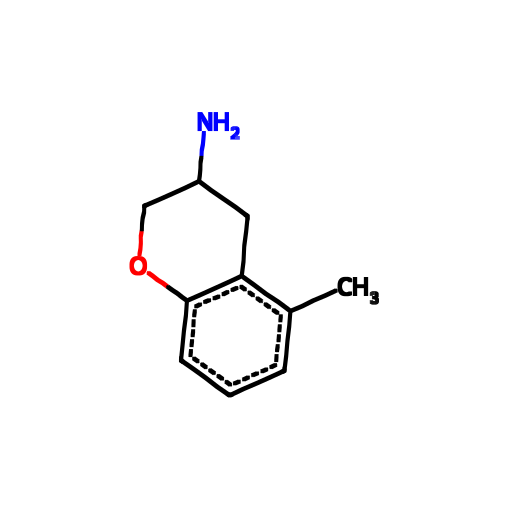 Cc1cccc2c1CC(N)CO2